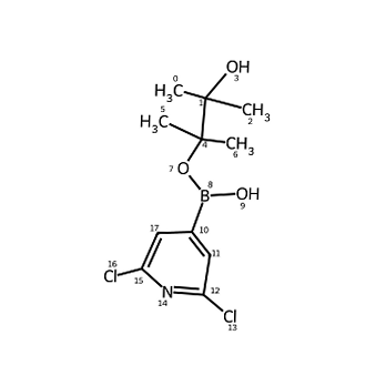 CC(C)(O)C(C)(C)OB(O)c1cc(Cl)nc(Cl)c1